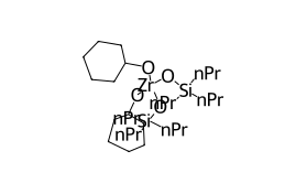 CCC[Si](CCC)(CCC)[O][Zr]([O]C1CCCCC1)([O]C1CCCCC1)[O][Si](CCC)(CCC)CCC